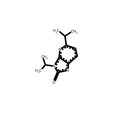 CC(C)c1ccc2sc(=O)n(C(C)C)c2n1